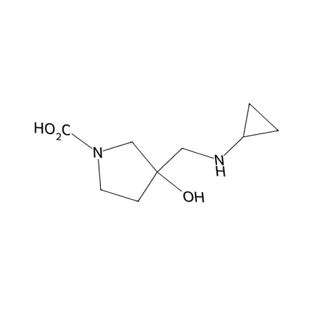 O=C(O)N1CCC(O)(CNC2CC2)C1